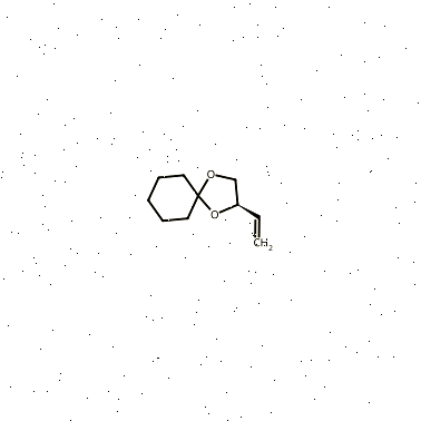 C=C[C@@H]1COC2(CCCCC2)O1